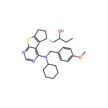 CCC(O)C[C@H]1CCc2sc3ncnc(N(Cc4ccc(OC)cc4)C4CCCCC4)c3c21